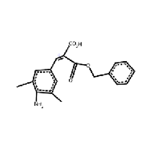 Cc1cc(/C=C(/C(=O)O)C(=O)OCc2ccccc2)cc(C)c1N